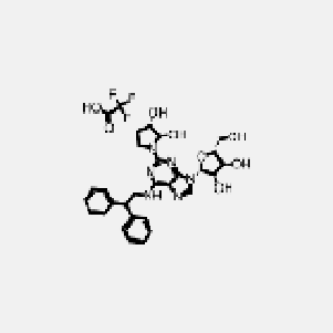 O=C(O)C(F)(F)F.OC[C@H]1O[C@@H](n2cnc3c(NCC(c4ccccc4)c4ccccc4)nc(N4CC[C@H](O)C4O)nc32)[C@H](O)[C@@H]1O